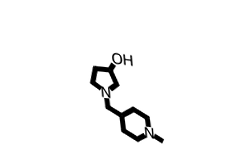 CN1CCC(CN2CCC(O)C2)CC1